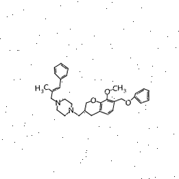 COc1c(COc2ccccc2)ccc2c1OCC(CN1CCN(CC(C)=Cc3ccccc3)CC1)C2